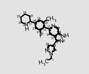 CCn1cc(-c2n[nH]c3cnc(-c4c(C)cc(C5CCCCN5)cc4F)cc23)cn1